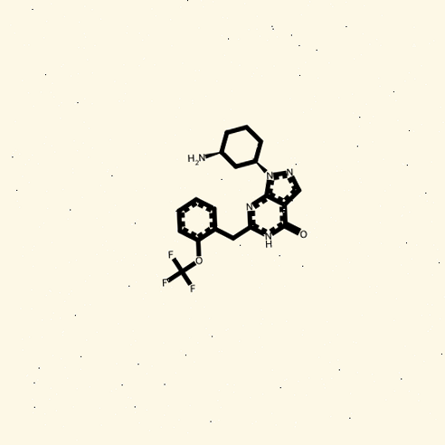 N[C@H]1CCC[C@@H](n2ncc3c(=O)[nH]c(Cc4ccccc4OC(F)(F)F)nc32)C1